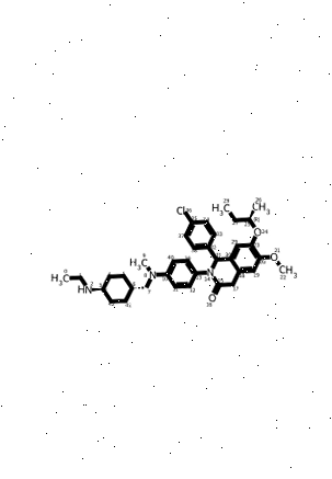 CCN[C@H]1CC[C@H](CN(C)c2ccc(N3C(=O)Cc4cc(OC)c(O[C@H](C)CC)cc4C3c3ccc(Cl)cc3)cc2)CC1